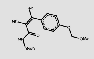 CCCCCCCCCNC(=O)C(C#N)=C(c1ccc(OCOC)cc1)C(C)C